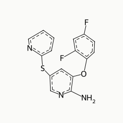 Nc1ncc(Sc2ccccn2)cc1Oc1ccc(F)cc1F